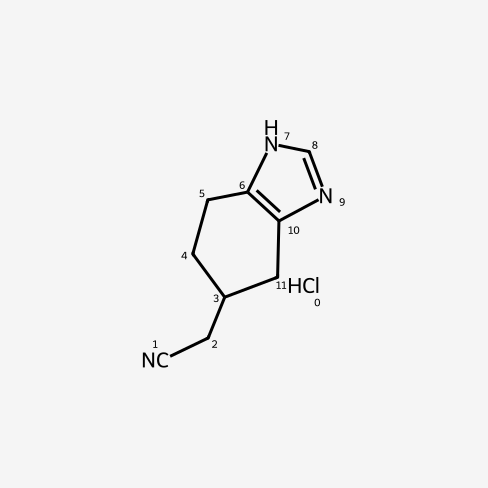 Cl.N#CCC1CCc2[nH]cnc2C1